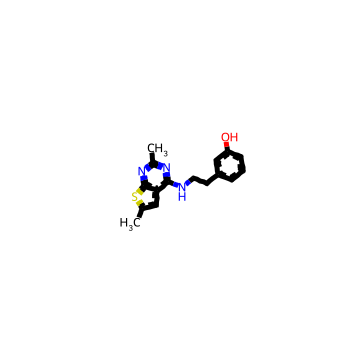 Cc1nc(NCCc2cccc(O)c2)c2cc(C)sc2n1